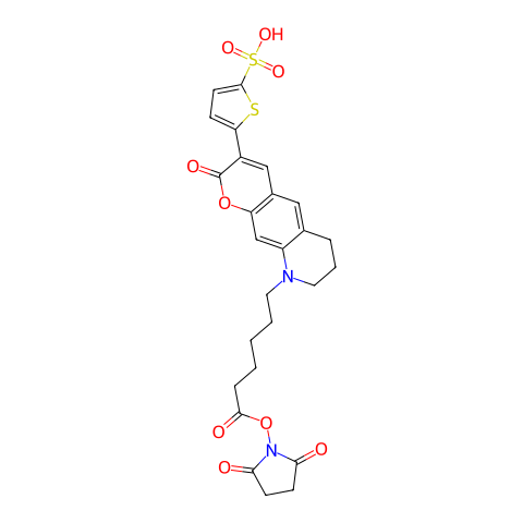 O=C(CCCCCN1CCCc2cc3cc(-c4ccc(S(=O)(=O)O)s4)c(=O)oc3cc21)ON1C(=O)CCC1=O